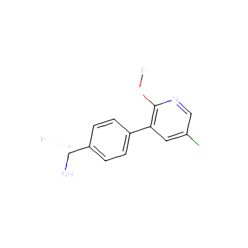 CCOc1ncc(Cl)cc1-c1ccc([C@@H](C)N)cc1